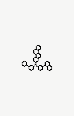 c1ccc(-c2cccc(N(c3cccc(-c4cccc5ccccc45)c3)c3ccc4c(ccc5c6ccccc6ccc45)c3)c2)cc1